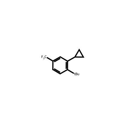 CC(C)(C)c1ccc(C(F)(F)F)cc1C1CC1